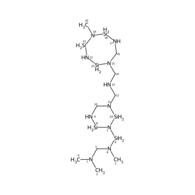 CN(C)CN(C)[SiH2]N1[SiH2]NCN(CNCN2CN[SiH2]N(C)[SiH2]N[SiH2]2)[SiH2]1